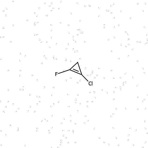 FC1=C(Cl)C1